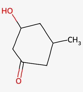 CC1CC(=O)CC(O)C1